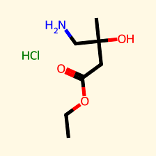 CCOC(=O)CC(C)(O)CN.Cl